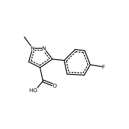 Cn1cc(C(=O)O)c(-c2ccc(F)cc2)n1